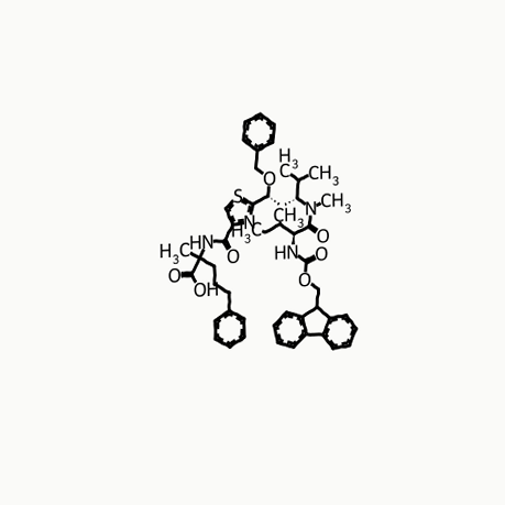 CC[C@H](C)[C@H](NC(=O)OCC1c2ccccc2-c2ccccc21)C(=O)N(C)[C@H](C[C@@H](OCc1ccccc1)c1nc(C(=O)NC(C)(CCCc2ccccc2)C(=O)O)cs1)C(C)C